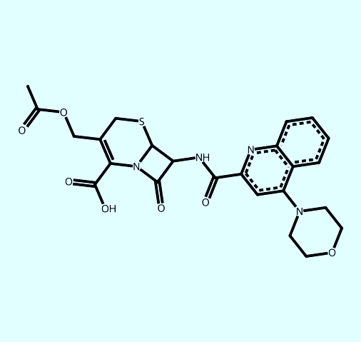 CC(=O)OCC1=C(C(=O)O)N2C(=O)C(NC(=O)c3cc(N4CCOCC4)c4ccccc4n3)C2SC1